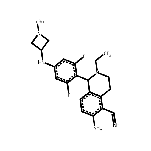 CCCCN1CC(Nc2cc(F)c(C3c4ccc(N)c(C=N)c4CCN3CC(F)(F)F)c(F)c2)C1